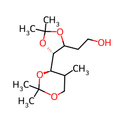 CC1COC(C)(C)O[C@H]1[C@@H]1OC(C)(C)OC1CCO